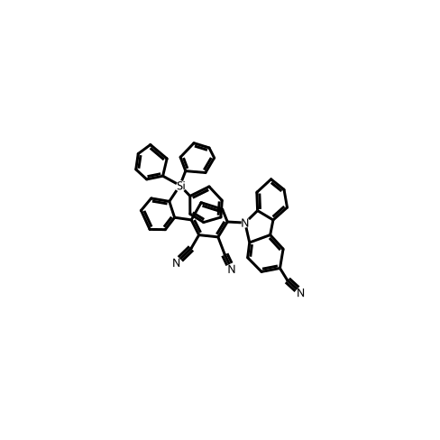 N#Cc1ccc2c(c1)c1ccccc1n2-c1ccc(-c2ccccc2[Si](c2ccccc2)(c2ccccc2)c2ccccc2)c(C#N)c1C#N